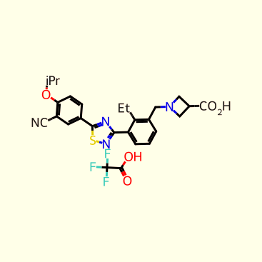 CCc1c(CN2CC(C(=O)O)C2)cccc1-c1nsc(-c2ccc(OC(C)C)c(C#N)c2)n1.O=C(O)C(F)(F)F